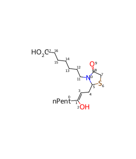 CCCCCC(O)=CCC1SCC(=O)N1CCCCCCC(=O)O